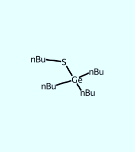 CCCC[S][Ge]([CH2]CCC)([CH2]CCC)[CH2]CCC